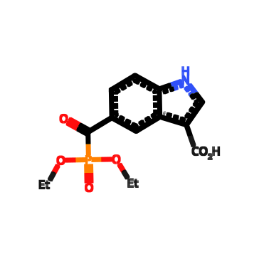 CCOP(=O)(OCC)C(=O)c1ccc2[nH]cc(C(=O)O)c2c1